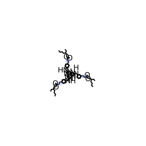 CCCCC(CC)COC(=O)/C=C/c1ccc(NC2=NC3=NC(Nc4ccc(/C=C/C(=O)OCC(CC)CCCC)cc4)=NC4=NC(Nc5cccc(/C=C/C(=O)OCC(CC)CCCC)c5)=NC(=N2)N34)cc1